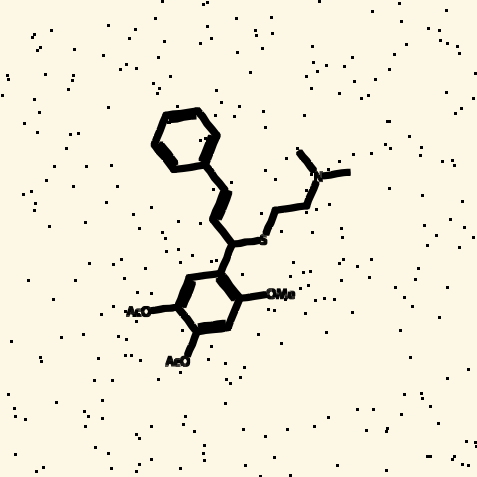 COc1cc(OC(C)=O)c(OC(C)=O)cc1C(/C=C/c1ccccc1)SCCN(C)C